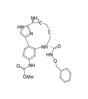 COC(=O)Nc1ccc2c(c1)N[C@@H](C(=O)NOCc1ccccc1)CCCC[C@H](N)c1nc-2c[nH]1